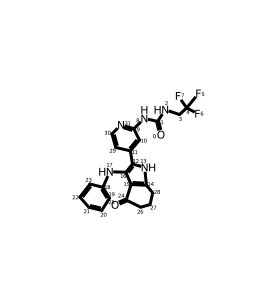 O=C(NCC(F)(F)F)Nc1cc(-c2[nH]c3c(c2Nc2ccccc2)C(=O)CCC3)ccn1